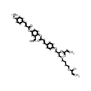 C=CC(=O)OCCCCOCC(COc1ccc(/C=C/C(=O)Oc2ccc(OC(=O)/C=C/c3ccc(OC(C)(C)C)cc3)cc2C=N)cc1)OC(=O)C=C